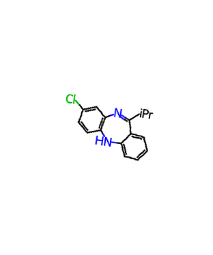 CC(C)C1=Nc2cc(Cl)ccc2Nc2ccccc21